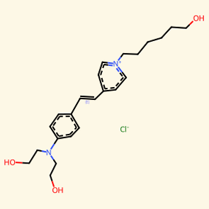 OCCCCCC[n+]1ccc(/C=C/c2ccc(N(CCO)CCO)cc2)cc1.[Cl-]